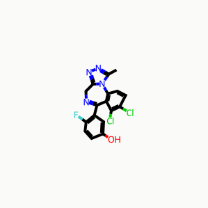 Cc1nnc2n1-c1ccc(Cl)c(Cl)c1C(c1cc(O)ccc1F)=NC2